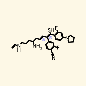 C=CNCCCC(N)C/C=C/C(=C(\S)c1ccc(N2CCCC2)cc1F)c1ccc(C#N)c(F)c1